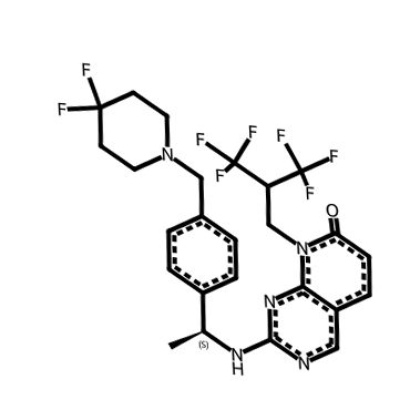 C[C@H](Nc1ncc2ccc(=O)n(CC(C(F)(F)F)C(F)(F)F)c2n1)c1ccc(CN2CCC(F)(F)CC2)cc1